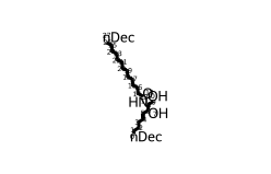 CCCCCCCCCCCCCC=CC(O)C(CO)NC(=O)CCCCCCCCCCCCCCCCCCCCCCC